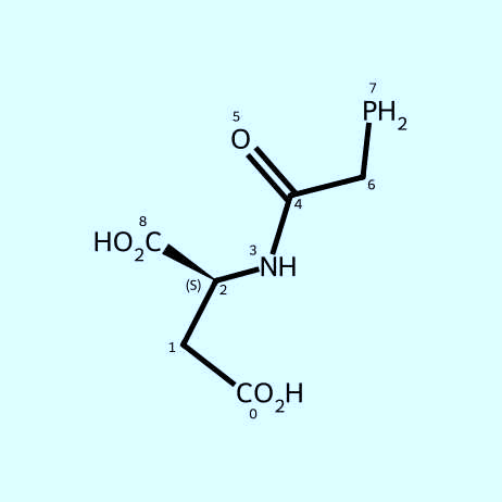 O=C(O)C[C@H](NC(=O)CP)C(=O)O